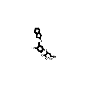 COC(=O)C(CCBr)Oc1ccc(Br)c(COC2Cc3ccccc3C2)c1